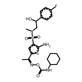 CC(=NOC(=O)NC1CCCCC1)c1cc(S(=O)(=O)N(C)CC(O)c2ccc(F)cc2)c(N)s1